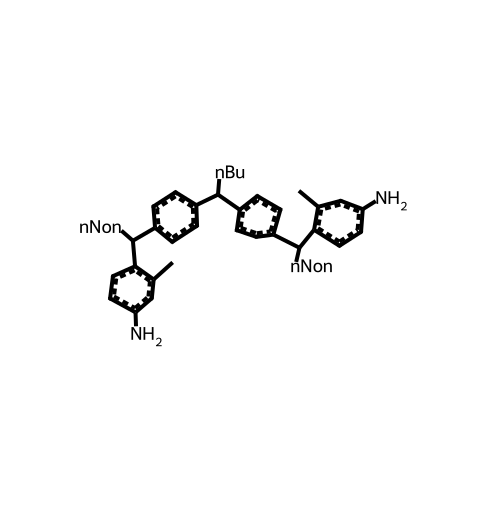 CCCCCCCCCC(c1ccc(C(CCCC)c2ccc(C(CCCCCCCCC)c3ccc(N)cc3C)cc2)cc1)c1ccc(N)cc1C